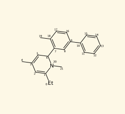 CCC1=CC(C)=CC(c2cc(-c3ccccc3)ccc2C)N1C